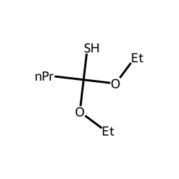 [CH2]CCC(S)(OCC)OCC